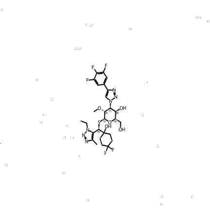 CCn1nnc(C)c1[C@@H](S[C@@H]1O[C@H](CO)[C@H](O)[C@H](n2cc(-c3cc(F)c(F)c(F)c3)nn2)[C@H]1OC)C1(O)CCC(F)(F)CC1